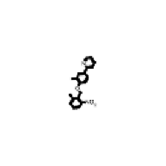 Cc1cc(-c2ccccn2)ccc1OCc1c(C)cccc1[N+](=O)[O-]